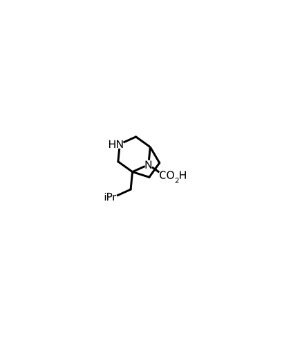 CC(C)CC12CCC(CNC1)N2C(=O)O